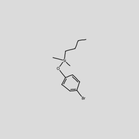 CCCC[Si](C)(C)Oc1ccc(Br)cc1